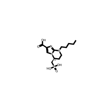 CCCCCN1CC[C@@H](CP(=O)(O)O)n2cc(C(=O)O)nc21